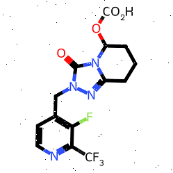 O=C(O)OC1CCCc2nn(Cc3ccnc(C(F)(F)F)c3F)c(=O)n21